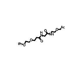 CC(=O)COCCNC(=O)CNC(=O)CCOCCOC(C)C